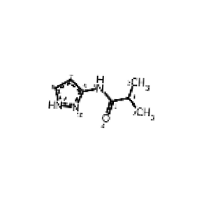 CC(C)C(=O)Nc1cc[nH]n1